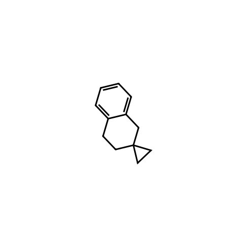 c1ccc2c(c1)CCC1(CC1)C2